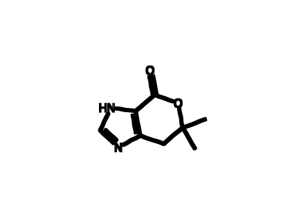 CC1(C)Cc2nc[nH]c2C(=O)O1